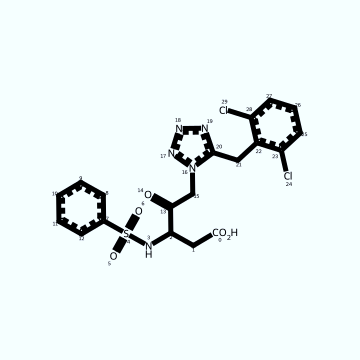 O=C(O)CC(NS(=O)(=O)c1ccccc1)C(=O)Cn1nnnc1Cc1c(Cl)cccc1Cl